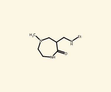 CCNCC1CN(C)CCNC1=O